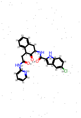 O=C(CC1C(=O)C(NC(=O)c2cc3cc(Cl)ccc3[nH]2)Cc2ccccc21)Nc1ccccn1